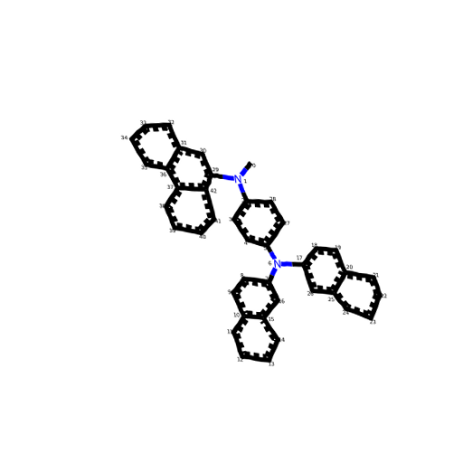 CN(c1ccc(N(c2ccc3ccccc3c2)c2ccc3ccccc3c2)cc1)c1cc2ccccc2c2ccccc12